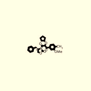 COc1cc(C(=O)C(OC2CCCC2)C(=O)N2C(=O)OC[C@H]2Cc2ccccc2)ccc1C